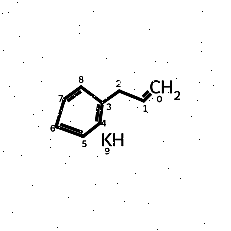 C=CCc1ccccc1.[KH]